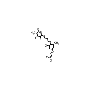 Cc1cc(OCC=C(Cl)Cl)cc(Cl)c1OCCCOc1nc(F)c(C)c(F)c1F